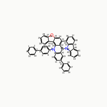 c1ccc(-c2ccc(N3c4ccc(-c5ccccc5)cc4B4c5c(cc6oc7ccccc7c6c53)-c3cccc5c6ccccc6n4c35)cc2)cc1